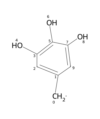 [CH2]c1cc(O)c(O)c(O)c1